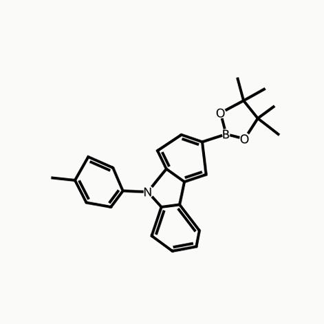 Cc1ccc(-n2c3ccccc3c3cc(B4OC(C)(C)C(C)(C)O4)ccc32)cc1